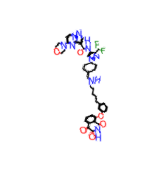 O=C1NC(=O)c2c(Oc3cccc(CCCCCNCC4CCC(n5cc(NC(=O)c6cnn7ccc(N8CCOCC8)nc67)c(C(F)F)n5)CC4)c3)cccc2C1=O